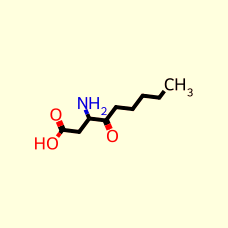 CCCCCC(=O)C(N)CC(=O)O